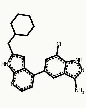 Nc1n[nH]c2c(Cl)cc(-c3ccnc4[nH]c(CC5CCCCC5)cc34)cc12